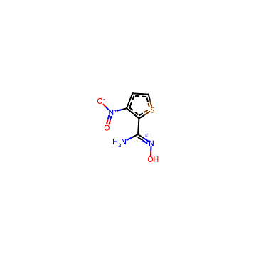 N/C(=N\O)c1sccc1[N+](=O)[O-]